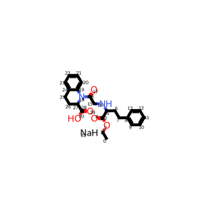 CCOC(=O)C(CCc1ccccc1)NCC(=O)N1c2ccccc2CCC1C(=O)O.[NaH]